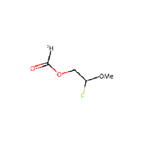 [2H]C(=O)OCC(F)OC